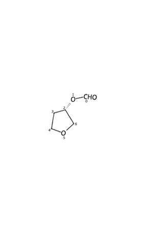 O=CO[C@H]1CCOC1